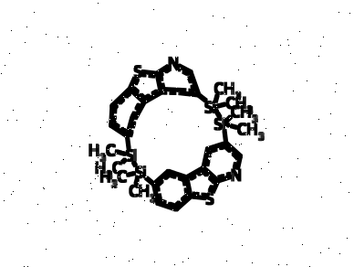 C[Si]1(C)c2ccc3sc4ncc(cc4c3c2)[Si](C)(C)[Si](C)(C)c2cnc3sc4ccc(cc4c3c2)[Si]1(C)C